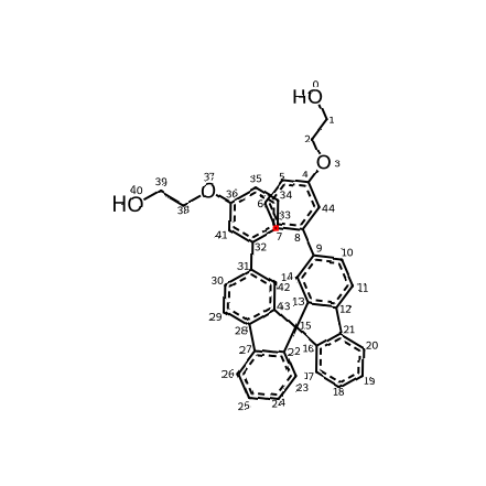 OCCOc1cccc(-c2ccc3c(c2)C2(c4ccccc4-3)c3ccccc3-c3ccc(-c4cccc(OCCO)c4)cc32)c1